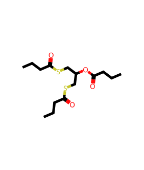 CCCC(=O)OC(CSC(=O)CCC)CSC(=O)CCC